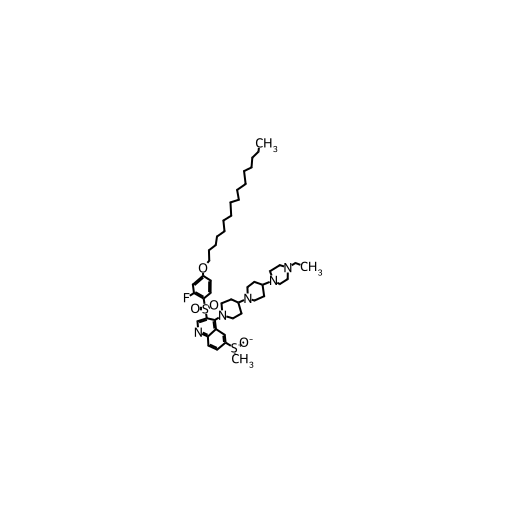 CCCCCCCCCCCCCCCCOc1ccc(S(=O)(=O)c2cnc3ccc([S+](C)[O-])cc3c2N2CCC(N3CCC(N4CCN(CC)CC4)CC3)CC2)c(F)c1